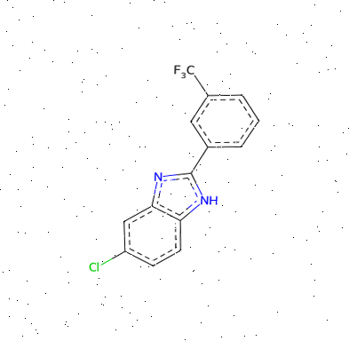 FC(F)(F)c1cccc(-c2nc3cc(Cl)ccc3[nH]2)c1